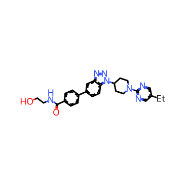 CCc1cnc(N2CCC(n3nnc4cc(-c5ccc(C(=O)NCCO)cc5)ccc43)CC2)nc1